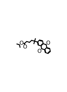 CC(C)OC(=O)CCCC(C)(C)c1ccc2c(c1)C(=O)c1ccccc1C2=O